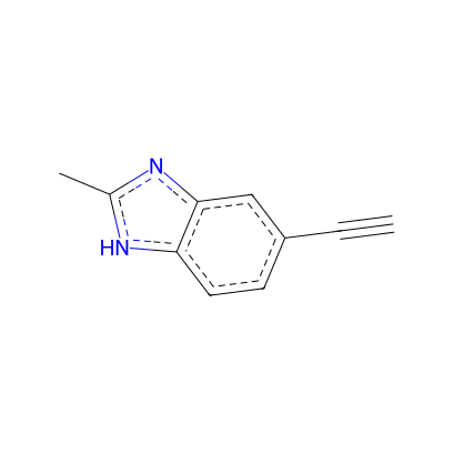 C#Cc1ccc2[nH]c(C)nc2c1